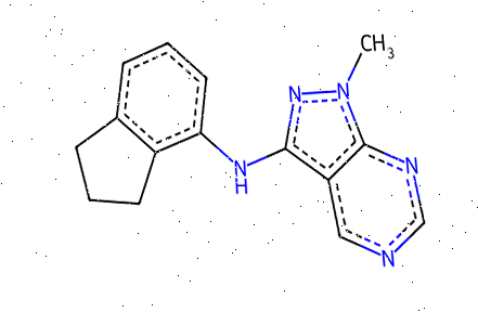 Cn1nc(Nc2cccc3c2CCC3)c2cncnc21